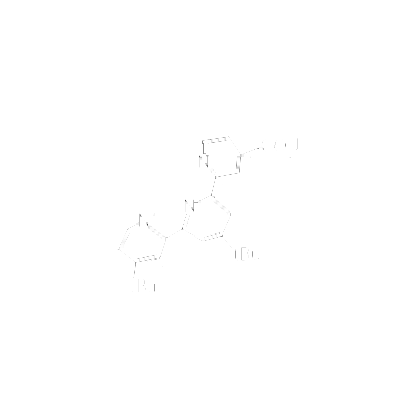 CC(C)(C)c1ccnc(-c2cc(C(C)(C)C)cc(-c3cc(C(=O)O)ccn3)n2)c1